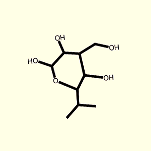 CC(C)C1OC(O)C(O)C(CO)C1O